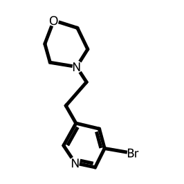 Brc1cncc(CCN2CCOCC2)c1